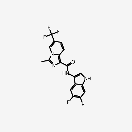 Cc1nc(C(=O)Nc2c[nH]c3cc(F)c(F)cc23)c2ccc(C(F)(F)F)cn12